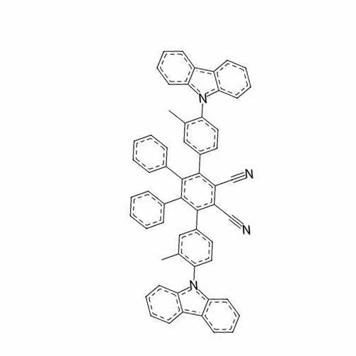 Cc1cc(-c2c(C#N)c(C#N)c(-c3ccc(-n4c5ccccc5c5ccccc54)c(C)c3)c(-c3ccccc3)c2-c2ccccc2)ccc1-n1c2ccccc2c2ccccc21